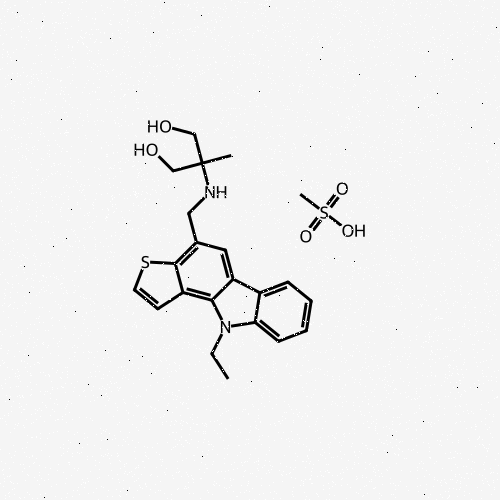 CCn1c2ccccc2c2cc(CNC(C)(CO)CO)c3sccc3c21.CS(=O)(=O)O